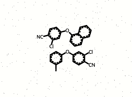 Cc1cccc(Oc2ccc(C#N)c(Cl)c2)c1.N#Cc1ccc(Oc2cccc3ccccc23)cc1Cl